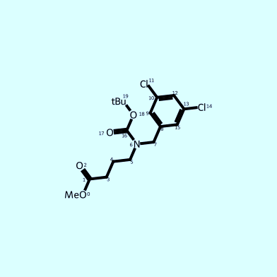 COC(=O)CCCN(Cc1cc(Cl)cc(Cl)c1)C(=O)OC(C)(C)C